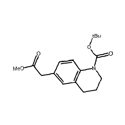 COC(=O)Cc1ccc2c(c1)CCCN2C(=O)OC(C)(C)C